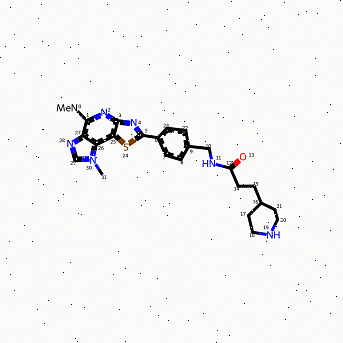 CNc1nc2nc(-c3ccc(CNC(=O)CCC4CCNCC4)cc3)sc2c2c1ncn2C